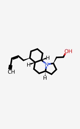 C#C/C=C\C[C@H]1CCC[C@H]2[C@@H]1CC[C@@H]1CC[C@H](CCO)N12